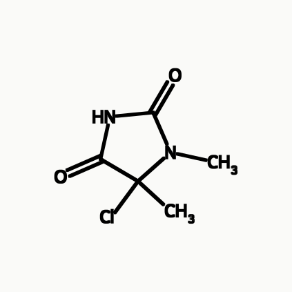 CN1C(=O)NC(=O)C1(C)Cl